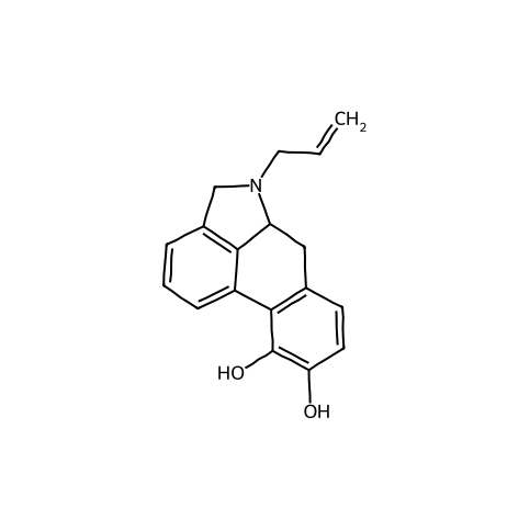 C=CCN1Cc2cccc3c2C1Cc1ccc(O)c(O)c1-3